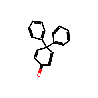 O=C1C=CC(c2ccccc2)(c2ccccc2)C=C1